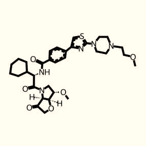 COCCN1CCN(c2nc(-c3ccc(C(=O)N[C@H](C(=O)N4C[C@H](OC)[C@H]5OCC(=O)[C@H]54)C4CCCCC4)cc3)cs2)CC1